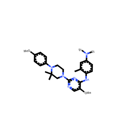 CCN(CC)c1ccc(Nc2nc(N3CCN(c4ccc(OC)cc4)C(C)(C)C3)ncc2OC)c(C)c1